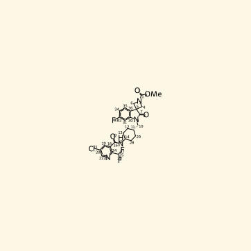 COC(=O)N1CC2(C1)C(=O)N(C[C@H]1CC[C@H](NC(=O)c3cc(Cl)cnc3C(F)F)CC1)c1cc(F)ccc12